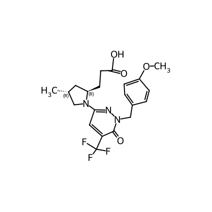 COc1ccc(Cn2nc(N3C[C@H](C)C[C@H]3CCC(=O)O)cc(C(F)(F)F)c2=O)cc1